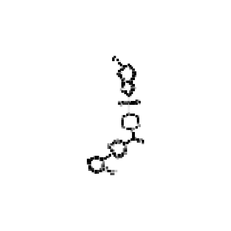 O=C(c1cnc(-c2cccc[n+]2[O-])cn1)N1CCN(S(=O)(=O)c2cc3ccc(Cl)cc3s2)CC1